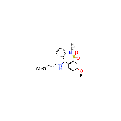 CCOc1ccc2c(c1)S(=O)(=O)N(C)c1ccccc1C2NCCCOC